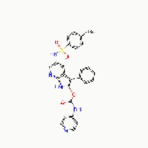 CC(C)(C)c1ccc(S(=O)(=O)Nc2cnc3[nH]c(OC(=O)Nc4ccncc4)c(-c4ccccc4)c3c2)cc1